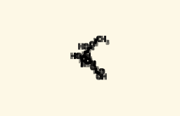 CCCOCC(O)C=C[C@H]1[C@@H]2CC(=NOCCC(=O)O)C[C@H]2C[C@@H]1O